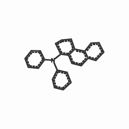 c1ccc(N(c2ccccc2)c2cccc3c2ccc2ccccc23)cc1